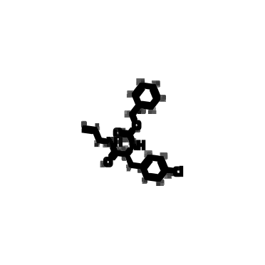 C=CCNC(=O)[C@H](Cc1ccc(Cl)cc1)NC(=O)OCc1ccccc1